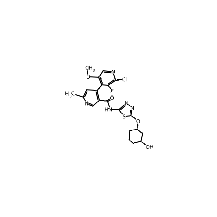 COc1cnc(Cl)c(F)c1-c1cc(C)ncc1C(=O)Nc1nnc(O[C@@H]2CCC[C@H](O)C2)s1